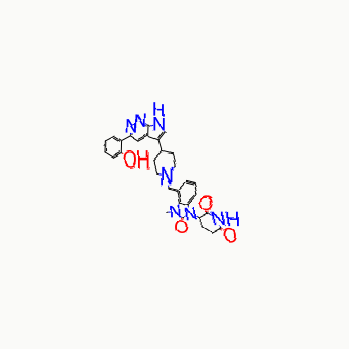 Cn1c(=O)n(C2CCC(=O)NC2=O)c2cccc(CN3CCC(c4c[nH]c5nnc(-c6ccccc6O)cc45)CC3)c21